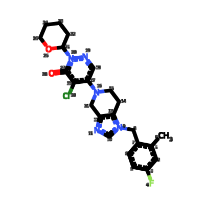 Cc1cc(F)ccc1Cn1cnc2c1CCN(c1cnn(C3CCCCO3)c(=O)c1Cl)C2